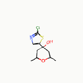 CC1CC(O)(c2cnc(Cl)s2)CC(C)O1